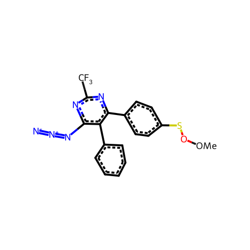 COOSc1ccc(-c2nc(C(F)(F)F)nc(N=[N+]=[N-])c2-c2ccccc2)cc1